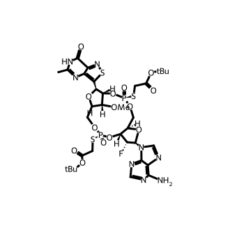 CO[C@H]1[C@H]2O[P@@](=O)(SCC(=O)OC(C)(C)C)OC[C@H]3O[C@@H](n4cnc5c(N)ncnc54)[C@H](F)[C@@H]3O[P@](=O)(SCC(=O)OC(C)(C)C)OC[C@H]1O[C@H]2c1snc2c(=O)[nH]c(C)nc12